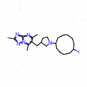 Cc1nc2nc(C)c(CC3CCN(C4CCCCCC(I)CCCC4)C3)c(C)n2n1